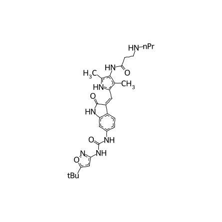 CCCNCCC(=O)Nc1c(C)[nH]c(C=C2C(=O)Nc3cc(NC(=O)Nc4cc(C(C)(C)C)on4)ccc32)c1C